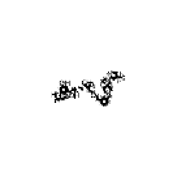 CN(CCNC[C@H](O)c1cc(O)cc2c1OCC(=O)N2)C(=O)CCOCCc1cccc(CN2CCC3(CC2)CN(c2cc(C(F)(F)F)ccn2)CCO3)c1